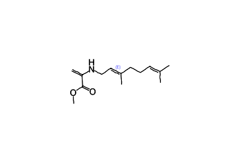 C=C(NC/C=C(\C)CCC=C(C)C)C(=O)OC